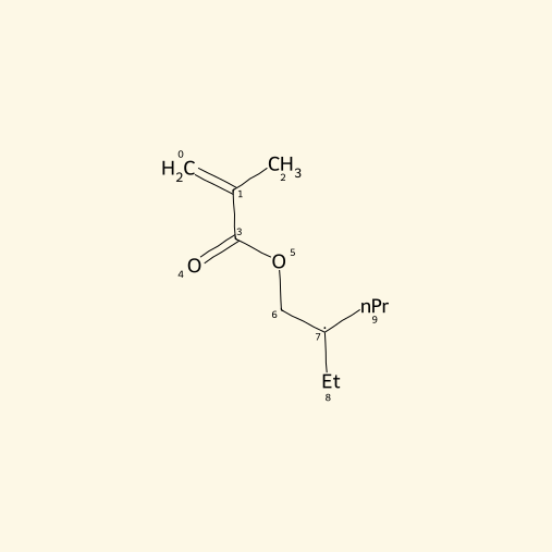 C=C(C)C(=O)OC[C](CC)CCC